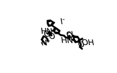 CCOc1cc(NC(=O)CCCc2ccc(-c3ccccc3)c(NC(=O)OC3CC[N+](C)(C)CC3)c2)c(Cl)cc1CO.[I-]